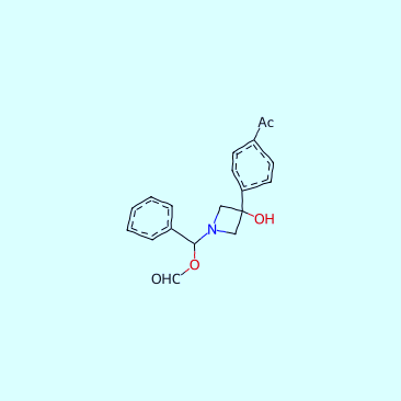 CC(=O)c1ccc(C2(O)CN(C(OC=O)c3ccccc3)C2)cc1